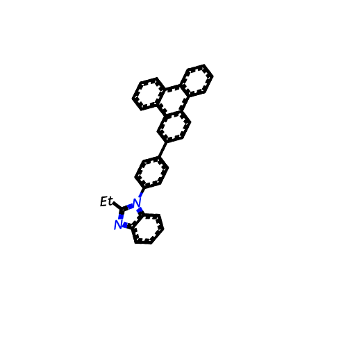 CCc1nc2ccccc2n1-c1ccc(-c2ccc3c4ccccc4c4ccccc4c3c2)cc1